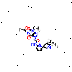 CCC(=O)Cn1c(=O)c2c(ncn2CC(=O)Nc2cccc(-c3cnc(C)c(C(F)(F)F)c3)n2)n(C)c1=O